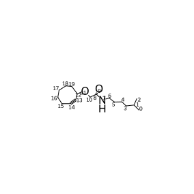 CC(C)CCCCNC(=O)COC1C#CCCCCC1